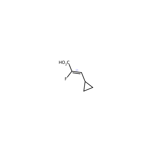 O=C(O)/C(F)=C/C1CC1